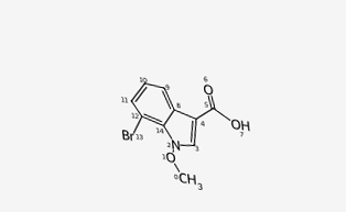 COn1cc(C(=O)O)c2cccc(Br)c21